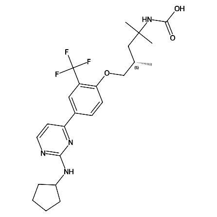 C[C@H](COc1ccc(-c2ccnc(NC3CCCC3)n2)cc1C(F)(F)F)CC(C)(C)NC(=O)O